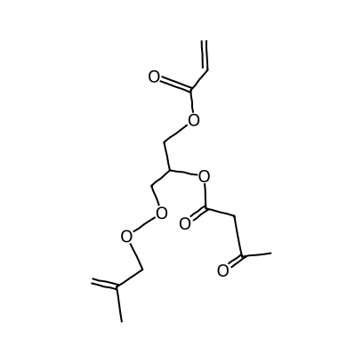 C=CC(=O)OCC(COOCC(=C)C)OC(=O)CC(C)=O